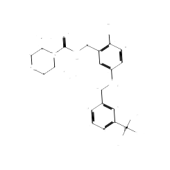 C[C@@H]1CNC[C@H](C)N1C(=O)OCc1cc(OCc2cccc(C(F)(F)F)c2)ccc1F